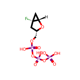 O=P(O)(O)OP(=O)(O)OP(=O)(O)OC[C@@H]1C[C@@]2(F)C[C@@H]2O1